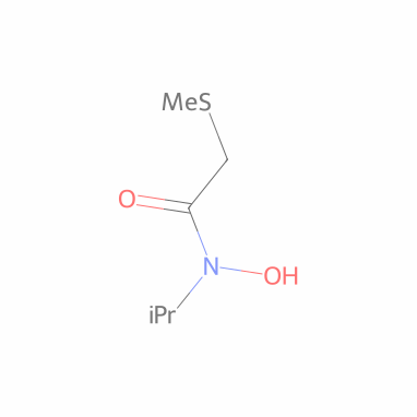 CSCC(=O)N(O)C(C)C